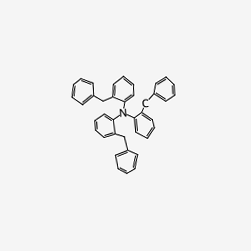 c1ccc(Cc2ccccc2N(c2ccccc2Cc2ccccc2)c2ccccc2Cc2ccccc2)cc1